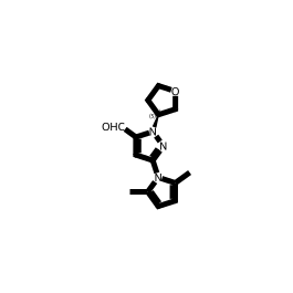 Cc1ccc(C)n1-c1cc(C=O)n([C@H]2CCOC2)n1